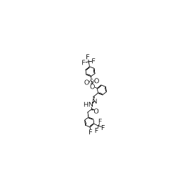 O=C(Cc1ccc(F)c(C(F)(F)F)c1)N/N=C/c1ccccc1OS(=O)(=O)c1ccc(C(F)(F)F)cc1